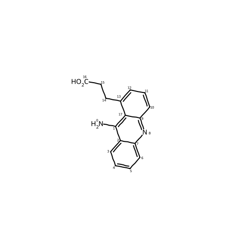 Nc1c2ccccc2nc2cccc(CCC(=O)O)c12